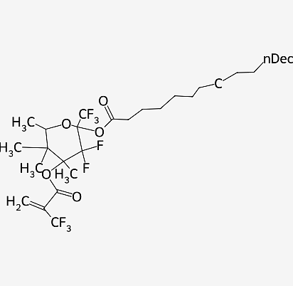 C=C(C(=O)OC1(C)C(C)(C)C(C)OC(OC(=O)CCCCCCCCCCCCCCCCCCC)(C(F)(F)F)C1(F)F)C(F)(F)F